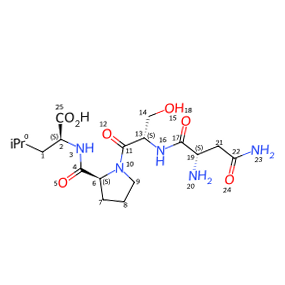 CC(C)C[C@H](NC(=O)[C@@H]1CCCN1C(=O)[C@H](CO)NC(=O)[C@@H](N)CC(N)=O)C(=O)O